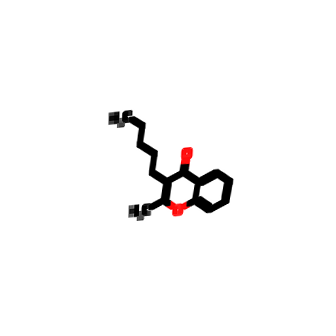 CCCCCc1c(C)oc2ccccc2c1=O